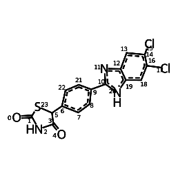 O=C1NC(=O)C(c2ccc(-c3nc4cc(Cl)c(Cl)cc4[nH]3)cc2)S1